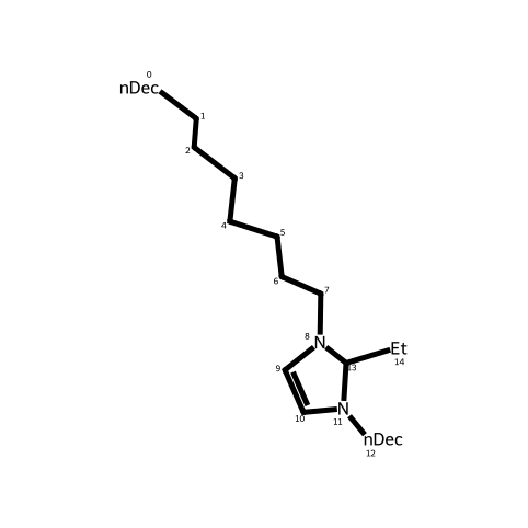 CCCCCCCCCCCCCCCCCN1C=CN(CCCCCCCCCC)C1CC